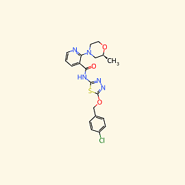 C[C@H]1CN(c2ncccc2C(=O)Nc2nnc(OCc3ccc(Cl)cc3)s2)CCO1